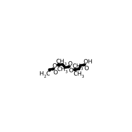 C=CC(=O)OC(C)(C)CCC(=O)OC(C)(C)CCC(=O)O